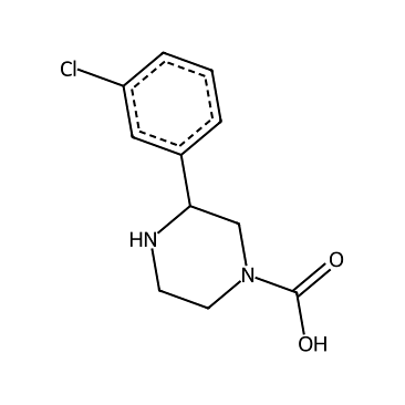 O=C(O)N1CCNC(c2cccc(Cl)c2)C1